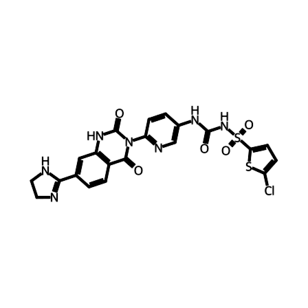 O=C(Nc1ccc(-n2c(=O)[nH]c3cc(C4=NCCN4)ccc3c2=O)nc1)NS(=O)(=O)c1ccc(Cl)s1